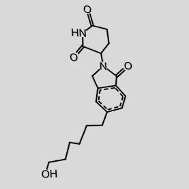 O=C1CCC(N2Cc3cc(CCCCCCO)ccc3C2=O)C(=O)N1